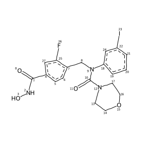 O=C(NO)c1ccc(CN(C(=O)N2CCOCC2)c2cccc(I)c2)c(F)c1